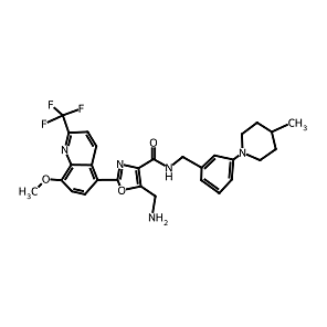 COc1ccc(-c2nc(C(=O)NCc3cccc(N4CCC(C)CC4)c3)c(CN)o2)c2ccc(C(F)(F)F)nc12